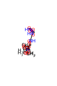 CC[C@H](C(=O)N1CCCC[C@H]1C(=O)O[C@H](CCc1ccc(OC)c(OC)c1)c1cccc(OCC(=O)NCCCCCCCC(=O)Nc2cccc3c2CN(C2CCC(=O)NC2=O)C3=O)c1)c1cc(OC)c(OC)c(OC)c1